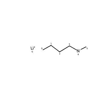 CCCC[N-]C.[Li+]